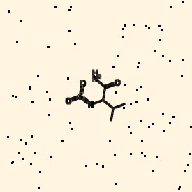 CC(C)C(N=S(=O)=O)C(N)=O